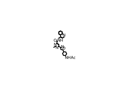 CC(=O)NC1CCC(C2CC(c3cc(C(=O)NCc4ccnc5ccccc45)nc(C)n3)=NO2)CC1